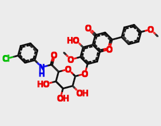 COc1ccc(-c2cc(=O)c3c(O)c(OC)c(OC4OC(C(=O)Nc5cccc(Cl)c5)C(O)C(O)C4O)cc3o2)cc1